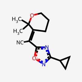 CC1(C)OCCCC1=C(C#N)c1nc(C2CC2)no1